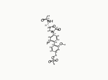 COc1cc(COS(C)(=O)=O)ccc1-c1ccc(N2C[C@H](CNC(C)=O)OC2=O)cc1F